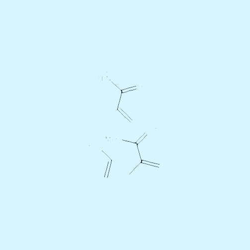 C=C(C)C(=O)OC.C=CC(N)=O.C=COC(C)=O